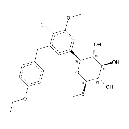 CCOc1ccc(Cc2cc([C@@H]3O[C@H](SC)[C@@H](O)[C@H](O)[C@H]3O)cc(OC)c2Cl)cc1